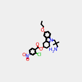 CCCOc1ccc2c(c1)c1c(n2CC(C)(C)CN)CCC(OC(=O)c2ccc([N+](=O)[O-])cc2Cl)C1